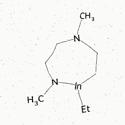 C[CH2][In]1[CH2]CN(C)CC[N]1C